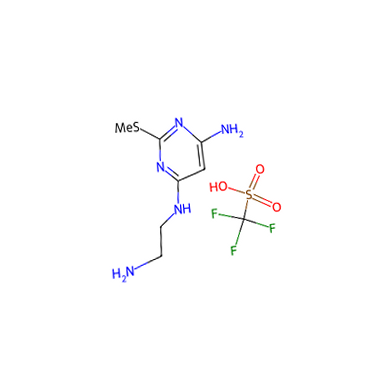 CSc1nc(N)cc(NCCN)n1.O=S(=O)(O)C(F)(F)F